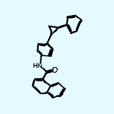 O=C(Nc1ccc(C2CC2c2ccccc2)cc1)c1cccc2ccccc12